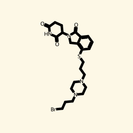 O=C1CCC(N2Cc3c(SCCCN4CCN(CCCBr)CC4)cccc3C2=O)C(=O)N1